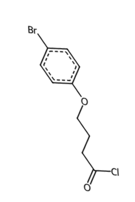 O=C(Cl)CCCOc1ccc(Br)cc1